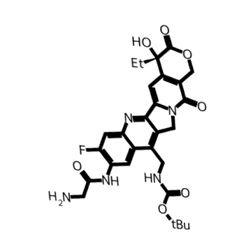 CC[C@@]1(O)C(=O)OCc2c1cc1n(c2=O)Cc2c-1nc1cc(F)c(NC(=O)CN)cc1c2CNC(=O)OC(C)(C)C